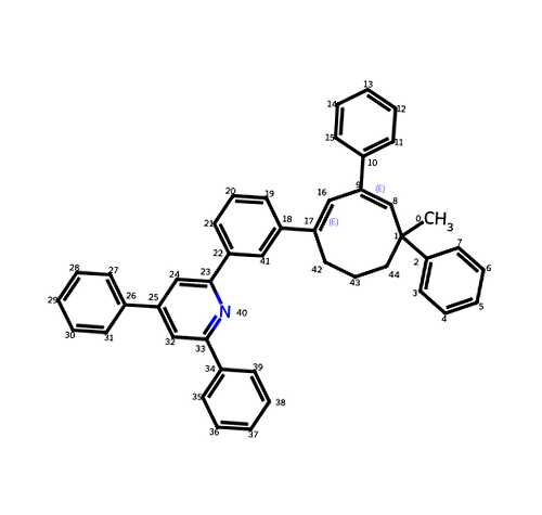 CC1(c2ccccc2)/C=C(c2ccccc2)\C=C(\c2cccc(-c3cc(-c4ccccc4)cc(-c4ccccc4)n3)c2)CCC1